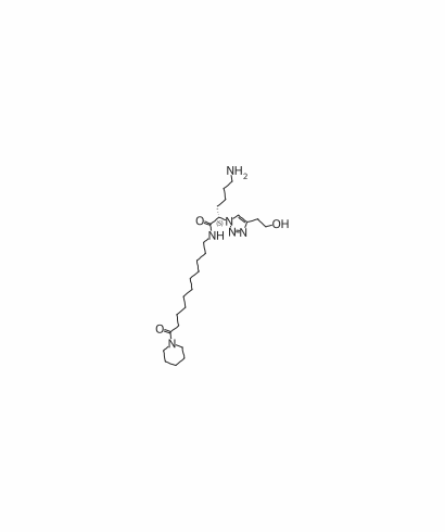 NCCCC[C@@H](C(=O)NCCCCCCCCCCC(=O)N1CCCCC1)n1cc(CCO)nn1